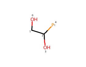 OCC(O)[P]